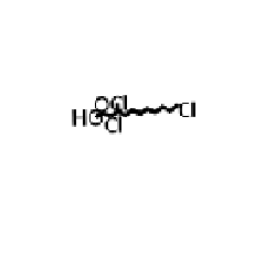 O=C(O)C(Cl)C(Cl)CCCCCCCCCl